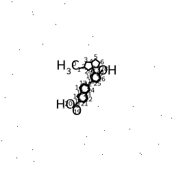 CCC1CC2CCCC2(c2cc(-c3ccc4cc(C(=O)O)ccc4c3)ccc2O)C1